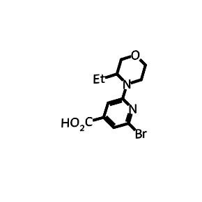 CCC1COCCN1c1cc(C(=O)O)cc(Br)n1